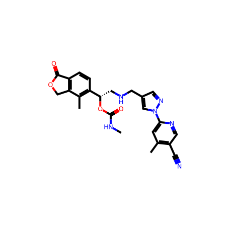 CNC(=O)O[C@@H](CNCc1cnn(-c2cc(C)c(C#N)cn2)c1)c1ccc2c(c1C)COC2=O